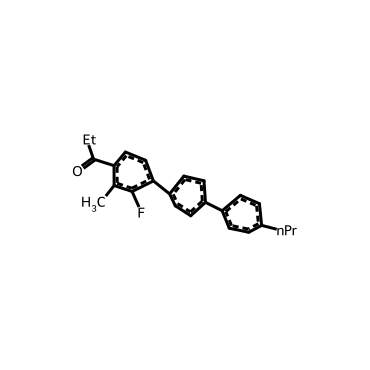 CCCc1ccc(-c2ccc(-c3ccc(C(=O)CC)c(C)c3F)cc2)cc1